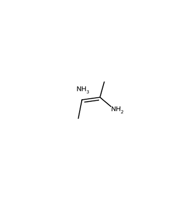 CC=C(C)N.N